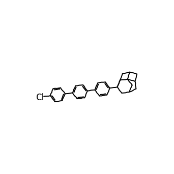 Clc1ccc(-c2ccc(-c3ccc(C45CC6CC7CC(C4)C7(C6)C5)cc3)cc2)cc1